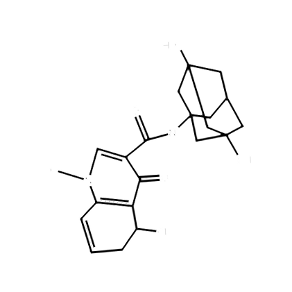 CC1CC=Cc2c1c(=O)c(C(=O)NC13CC4CC(C)(CC(C)(C4)C1)C3)cn2C